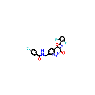 NC(=O)c1nc(-c2c(F)cccc2F)oc1-c1ccc(CNC(=O)c2ccc(F)cc2)cc1